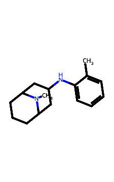 Cc1ccccc1NC1CC2CCCC(C1)N2C